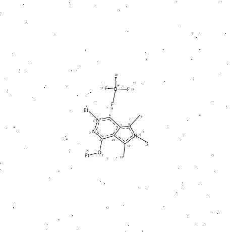 CCOc1n[n+](CC)cc2c(C)n(C)c(C)c12.F[B-](F)(F)F